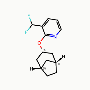 FC(F)c1cccnc1O[C@@H]1C[C@@H]2CC[C@@H](C2)C1